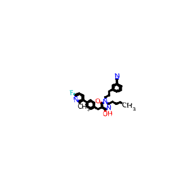 CCCCc1nc(O)c(Cc2ccc(-c3ccc(F)nc3C)cc2)c(=O)n1CCCc1cccc(C#N)c1